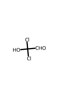 O=CC(O)(Cl)Cl